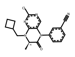 C[C@@H]1C(=O)N(c2cccc(C#N)c2)c2cnc(Cl)nc2N1CC1CCC1